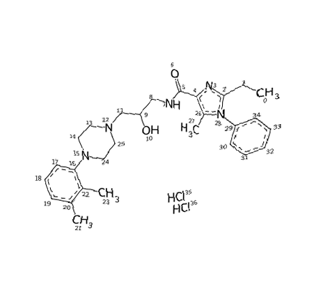 CCc1nc(C(=O)NCC(O)CN2CCN(c3cccc(C)c3C)CC2)c(C)n1-c1ccccc1.Cl.Cl